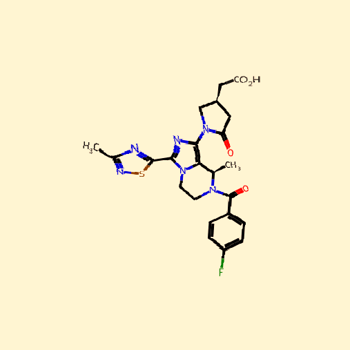 Cc1nsc(-c2nc(N3C[C@@H](CC(=O)O)CC3=O)c3n2CCN(C(=O)c2ccc(F)cc2)[C@@H]3C)n1